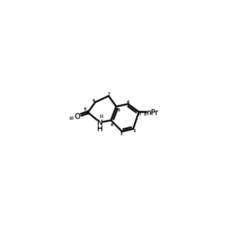 CCCc1ccc2c(c1)CCC(=O)N2